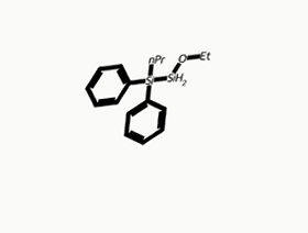 CCC[Si]([SiH2]OCC)(c1ccccc1)c1ccccc1